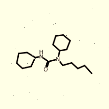 CCCCCN(C(=O)NC1CCCCC1)C1CCCCC1